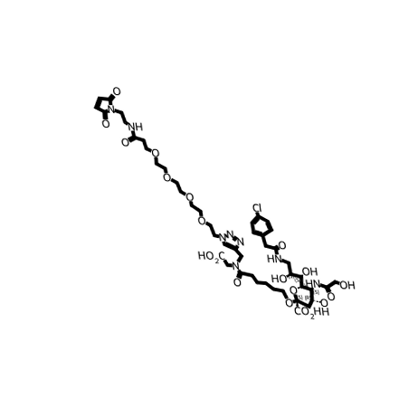 O=C(O)CN(Cc1cn(CCOCCOCCOCCOCCC(=O)NCCN2C(=O)C=CC2=O)nn1)C(=O)CCCCCO[C@@]1(C(=O)O)C[C@@H](O)[C@H](NC(=O)CO)[C@@H]([C@@H](O)[C@@H](O)CNC(=O)Cc2ccc(Cl)cc2)O1